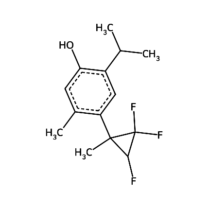 Cc1cc(O)c(C(C)C)cc1C1(C)C(F)C1(F)F